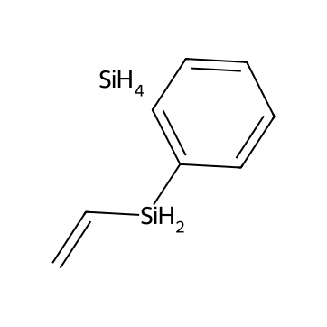 C=C[SiH2]c1ccccc1.[SiH4]